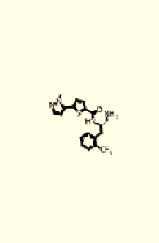 Cn1nccc1-c1ccc(C(=O)N[C@H](CN)Cc2ccccc2C(F)(F)F)s1